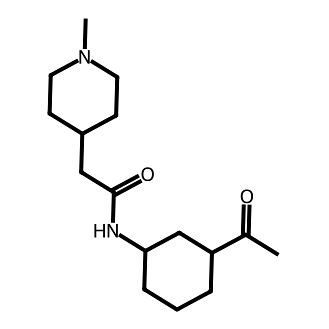 CC(=O)C1CCCC(NC(=O)CC2CCN(C)CC2)C1